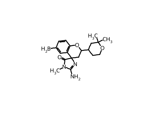 Bc1ccc2c(c1)C1(CC(C3CCOC(C)(C)C3)O2)N=C(N)N(C)C1=O